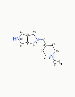 CN1CCC(CN2CC3CNCC3C2)CC1